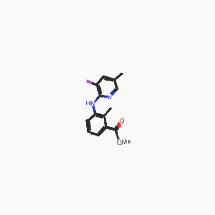 COC(=O)c1cccc(Nc2ncc(C)cc2I)c1C